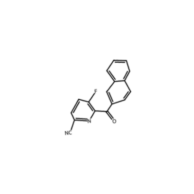 N#Cc1ccc(F)c(C(=O)c2ccc3ccccc3c2)n1